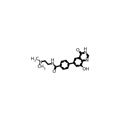 CN(C)CCNC(=O)c1ccc(-c2cc(O)c3nc[nH]c(=O)c3c2)cc1